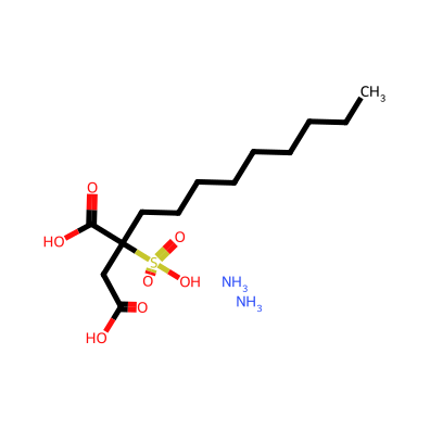 CCCCCCCCCC(CC(=O)O)(C(=O)O)S(=O)(=O)O.N.N